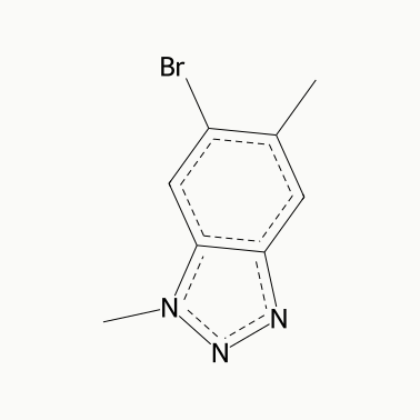 Cc1cc2nnn(C)c2cc1Br